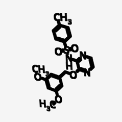 COc1cc(COc2nccnc2NS(=O)(=O)c2ccc(C)cc2)cc(OC)c1